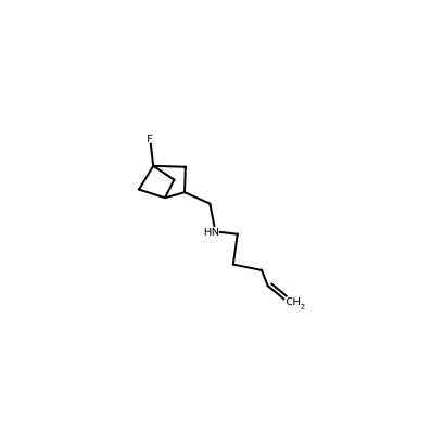 C=CCCCNCC1CC2(F)CC1C2